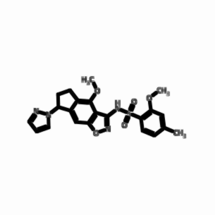 COc1cc(C)ccc1S(=O)(=O)Nc1noc2cc3c(c(OC)c12)CCC3n1cccn1